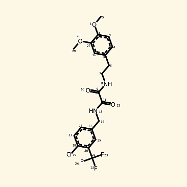 COc1ccc(CCNC(=O)C(=O)NCc2ccc(Cl)c(C(F)(F)F)c2)cc1OC